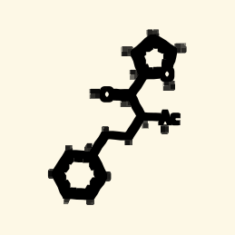 CC(=O)C(CCc1ccccc1)C(=O)c1ccco1